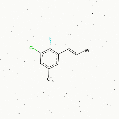 CC(C)C=Cc1cc(C(F)(F)F)cc(Cl)c1F